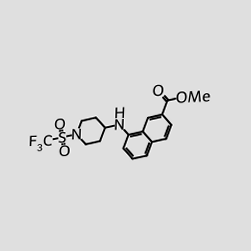 COC(=O)c1ccc2cccc(NC3CCN(S(=O)(=O)C(F)(F)F)CC3)c2c1